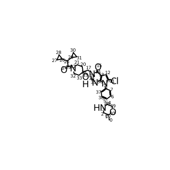 C[C@H]1CN[C@H](c2ccc(-n3c(Cl)cc4c(=O)n(CC5(O)CCN(C(=O)C(C6CC6)C6CC6)CC5)cnc43)cc2)CO1